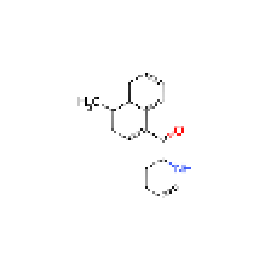 Cc1ccc(C(=O)C2CCC=CN2)c2ccccc12